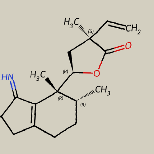 C=C[C@]1(C)C[C@H]([C@@]2(C)C3=C(CCC3=N)CC[C@H]2C)OC1=O